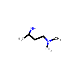 CC([NH])CCN(C)C